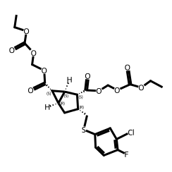 CCOC(=O)OCOC(=O)[C@@H]1[C@H](CSc2ccc(F)c(Cl)c2)C[C@H]2[C@H](C(=O)OCOC(=O)OCC)[C@H]21